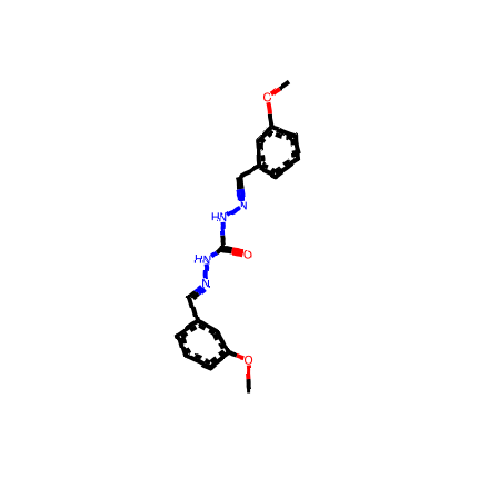 COc1cccc(C=NNC(=O)NN=Cc2cccc(OC)c2)c1